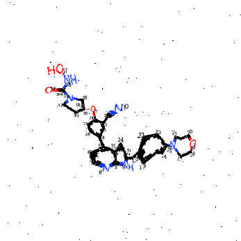 N#Cc1cc(-c2ccnc3[nH]c(-c4ccc(N5CCOCC5)cc4)cc23)ccc1O[C@@H]1CCN(C(=O)NO)C1